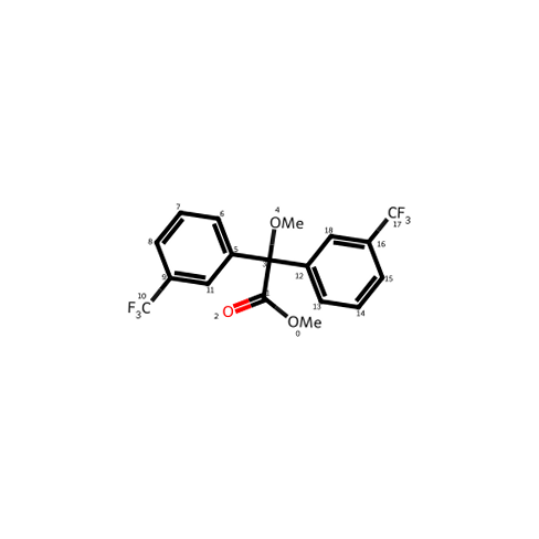 COC(=O)C(OC)(c1cccc(C(F)(F)F)c1)c1cccc(C(F)(F)F)c1